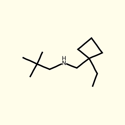 CCC1(CNCC(C)(C)C)CCC1